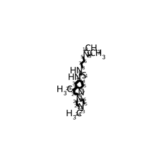 CCN(CC)CCCCNC(=S)Nc1ccc2nc(N3CCN(CC)CC3)cc(C)c2c1